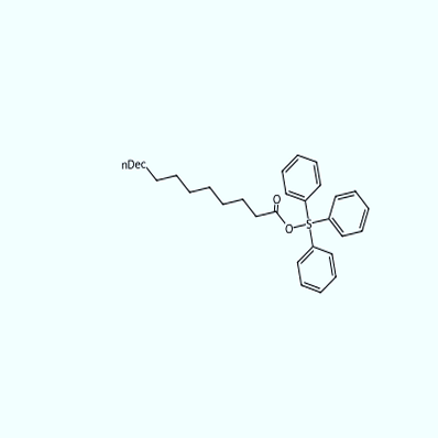 CCCCCCCCCCCCCCCCCC(=O)OS(c1ccccc1)(c1ccccc1)c1ccccc1